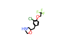 FC(F)(F)COc1ccc(CC2CNCCO2)cc1Cl